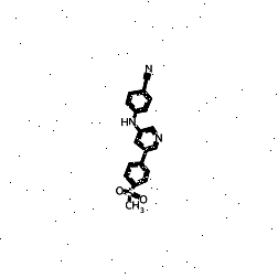 CS(=O)(=O)c1ccc(-c2cncc(Nc3ccc(C#N)cc3)c2)cc1